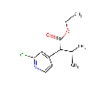 CCOC(=O)C(c1ccnc(Cl)c1)C(C)C